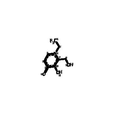 O=c1ccn(CC(F)(F)F)c(CO)c1O